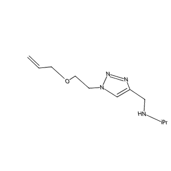 C=CCOCCn1cc(CNC(C)C)nn1